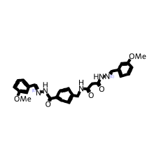 COc1cccc(/C=N/NC(=O)CC(=O)NCc2ccc(C(=O)N/N=C/c3cccc(OC)c3)cc2)c1